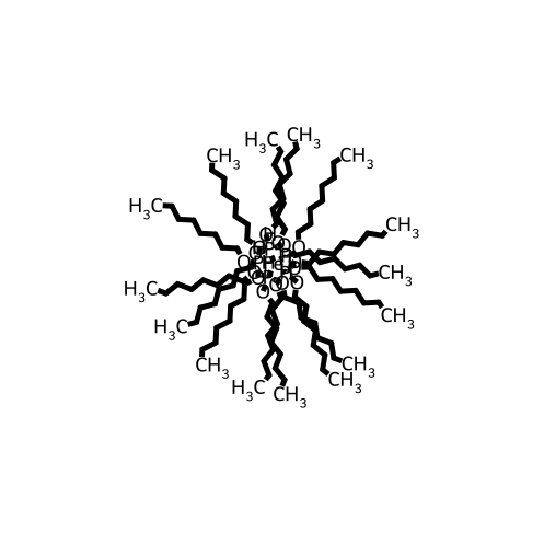 CCCCCCCCO[PH](OCCCCCCCC)(OCCCCCCCC)[Fe]([PH](OCCCCCCCC)(OCCCCCCCC)OCCCCCCCC)([PH](OCCCCCCCC)(OCCCCCCCC)OCCCCCCCC)([PH](OCCCCCCCC)(OCCCCCCCC)OCCCCCCCC)[PH](OCCCCCCCC)(OCCCCCCCC)OCCCCCCCC